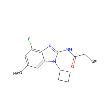 COc1cc(F)c2nc(NC(=O)CC(C)(C)C)n(C3CCC3)c2c1